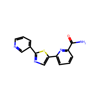 NC(=O)c1cccc(-c2cnc(-c3cccnc3)s2)n1